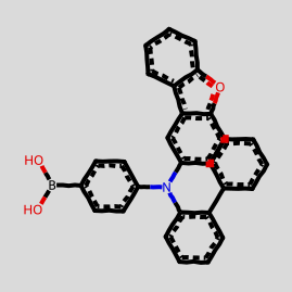 OB(O)c1ccc(N(c2ccc3oc4ccccc4c3c2)c2ccccc2-c2ccccc2)cc1